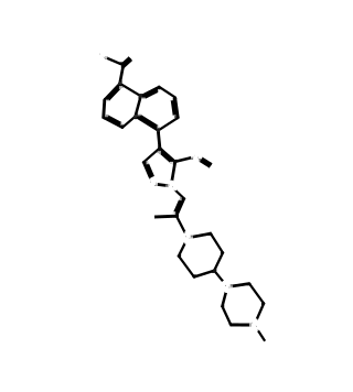 C=Nc1c(-c2cccc3c(C(N)=O)cccc23)cnn1/C=C(\C)N1CCC(N2CCN(C)CC2)CC1